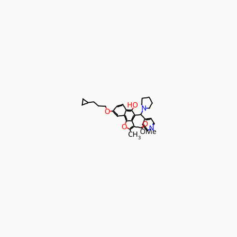 COC(=O)c1c(C)oc2c1c(C(c1ccncc1)N1CCCCC1)c(O)c1ccc(OCCCC3CC3)cc12